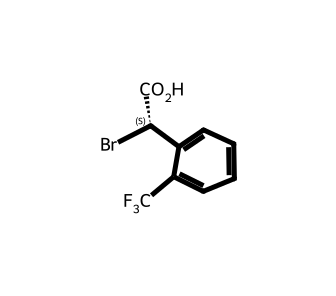 O=C(O)[C@@H](Br)c1ccccc1C(F)(F)F